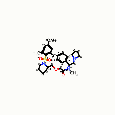 COc1cc(C)c(S(=O)(=O)N2CCCCC2COCC(=O)N(C)C(CN2CCCC2)c2ccccc2)c(C)c1